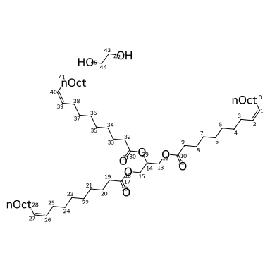 CCCCCCCC/C=C\CCCCCCCC(=O)OCC(COC(=O)CCCCCCC/C=C\CCCCCCCC)OC(=O)CCCCCCC/C=C\CCCCCCCC.OCCO